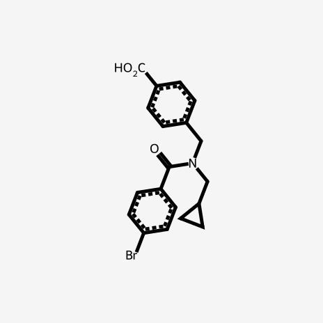 O=C(O)c1ccc(CN(CC2CC2)C(=O)c2ccc(Br)cc2)cc1